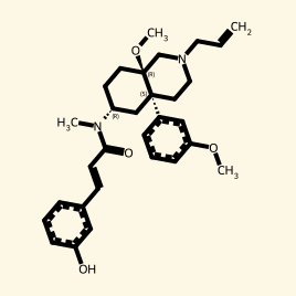 C=CCN1CC[C@@]2(c3cccc(OC)c3)C[C@H](N(C)C(=O)C=Cc3cccc(O)c3)CC[C@]2(OC)C1